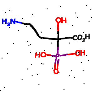 NCCC(O)(C(=O)O)P(=O)(O)O